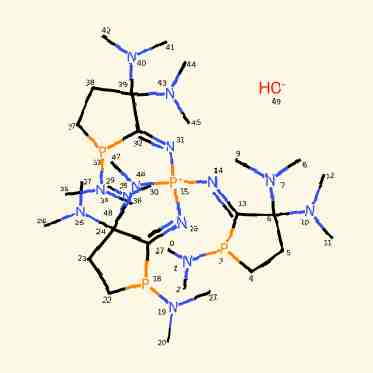 CN(C)P1CCC(N(C)C)(N(C)C)C1=N[P+](N=C1P(N(C)C)CCC1(N(C)C)N(C)C)(N=C1P(N(C)C)CCC1(N(C)C)N(C)C)N(C)C.[OH-]